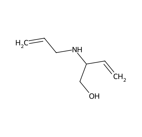 C=CCNC(C=C)CO